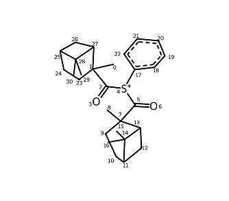 CC1(C(=O)[S+](C(=O)C2(C)CCC3CC2C3(C)C)c2ccccc2)CCC2CC1C2(C)C